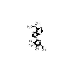 CN(C)c1ncnc2c1ncn2[C@@H]1O[C@H](CO)[C@@H](O)[C@@]1(C)O